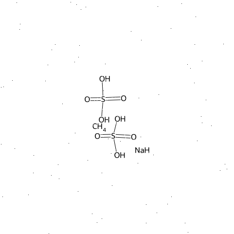 C.O=S(=O)(O)O.O=S(=O)(O)O.[NaH]